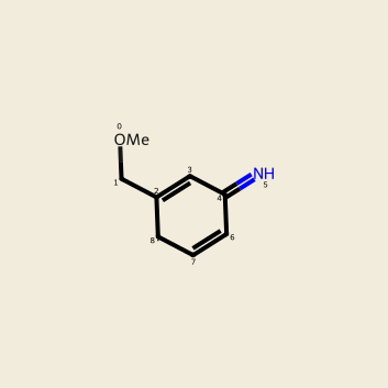 COCC1=CC(=N)C=C[CH]1